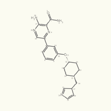 NC(=O)c1nc(-c2cccc(O[C@H]3CC[C@H](CC4C=CN=C4)CC3)c2)cnc1N